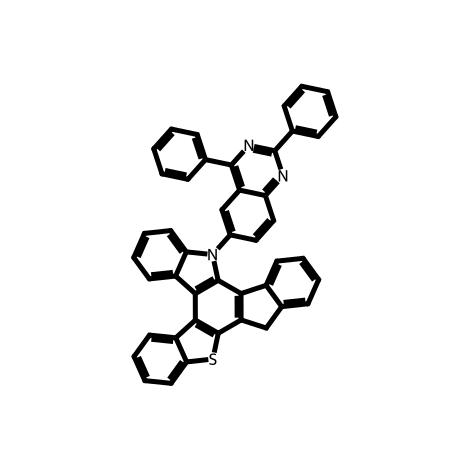 c1ccc(-c2nc(-c3ccccc3)c3cc(-n4c5ccccc5c5c6c(sc7ccccc76)c6c(c54)-c4ccccc4C6)ccc3n2)cc1